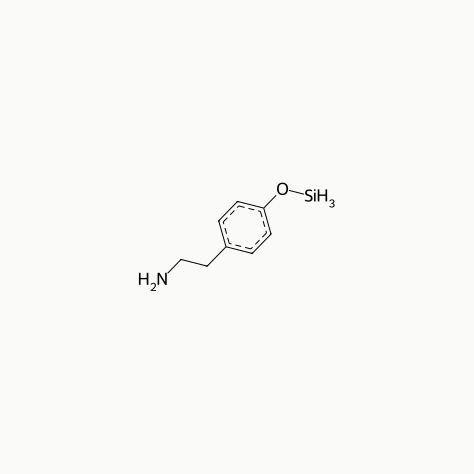 NCCc1ccc(O[SiH3])cc1